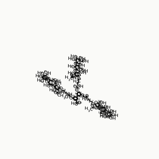 CC(=O)N[C@H]1[C@H](OCCCNC(=O)COc2cc(OCC(=O)NCCCO[C@@H]3O[C@H](CO)[C@@H](O[C@@H]4O[C@H](CO)[C@H](O)[C@H](O[C@H]5O[C@H](CO)[C@H](O)[C@H](O)[C@H]5O)[C@H]4O)[C@H](O)[C@H]3NC(C)=O)cc(-c3cc(OCC(=O)NCCCO[C@@H]4O[C@H](CO)[C@@H](O[C@@H]5O[C@H](CO)[C@H](O)[C@H](O[C@H]6O[C@H](CO)[C@H](O)[C@H](O)[C@H]6O)[C@H]5O)[C@H](O)[C@H]4NC(C)=O)cc(C(=O)O)c3)c2)O[C@H](CO)[C@@H](O[C@@H]2O[C@H](CO)[C@H](O)[C@H](O[C@H]3O[C@H](CO)[C@H](O)[C@H](O)[C@H]3O)[C@H]2O)[C@@H]1O